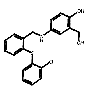 OCc1cc(NCc2ccccc2Sc2ccccc2Cl)ccc1O